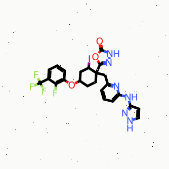 O=c1[nH]nc(C2(Cc3cccc(Nc4cc[nH]n4)n3)CCC(Oc3cccc(C(F)(F)F)c3F)CC2I)o1